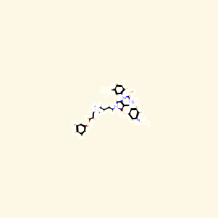 C[N+](C)(CCCCN1CC2=C(C1=O)[C@@H](c1ccc(N)cc1)NC(=O)N2c1cccc(C(F)(F)F)c1)CCCOc1ccccc1